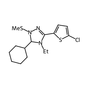 CCN1C(c2ccc(Cl)s2)=NN(SC)C1C1CCCCC1